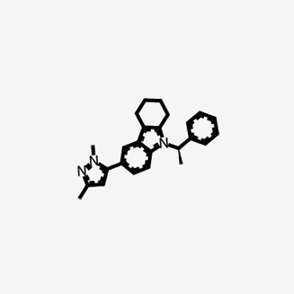 Cc1cc(-c2ccc3c(c2)c2c(n3[C@H](C)c3ccccc3)CCCC2)n(C)n1